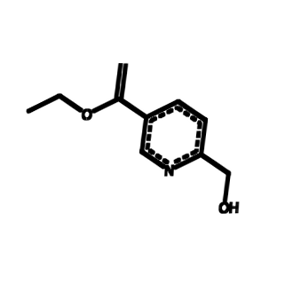 C=C(OCC)c1ccc(CO)nc1